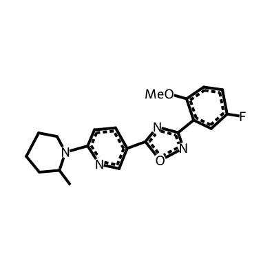 COc1ccc(F)cc1-c1noc(-c2ccc(N3CCCCC3C)nc2)n1